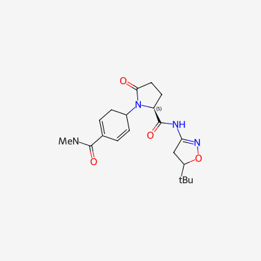 CNC(=O)C1=CCC(N2C(=O)CC[C@H]2C(=O)NC2=NOC(C(C)(C)C)C2)C=C1